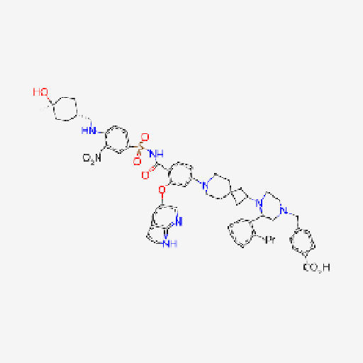 CC(C)c1ccccc1C1CN(Cc2ccc(C(=O)O)cc2)CCN1C1CC2(CCN(c3ccc(C(=O)NS(=O)(=O)c4ccc(NC[C@H]5CC[C@](C)(O)CC5)c([N+](=O)[O-])c4)c(Oc4cnc5[nH]ccc5c4)c3)CC2)C1